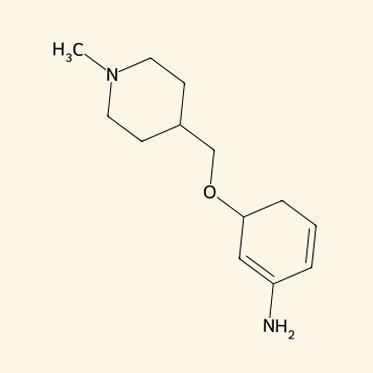 CN1CCC(COC2C=C(N)C=CC2)CC1